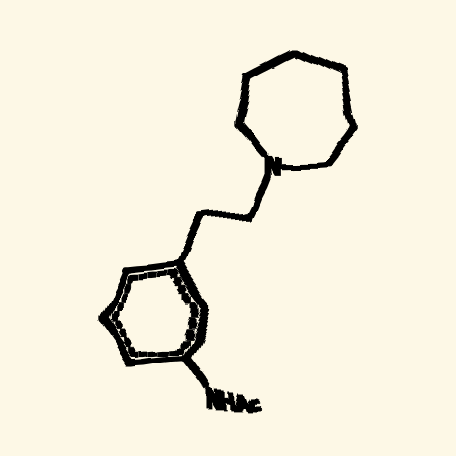 CC(=O)Nc1cccc(CCN2CCCCCC2)c1